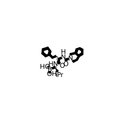 CC(C)C[C@H](NC(=O)[C@H](CCc1ccccc1)NC(=O)N1CCc2ccccc2C1)B(O)O